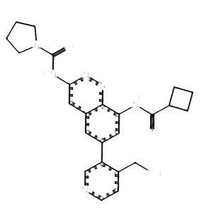 CCc1ccncc1-c1cc(NC(=O)C2CCC2)c2nnc(NC(=O)N3CCCC3)cc2c1